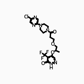 CC(COCCC(=O)N1CCN(c2cnc(Cl)cn2)CC1)Oc1cn[nH]c(=O)c1C(F)(F)F